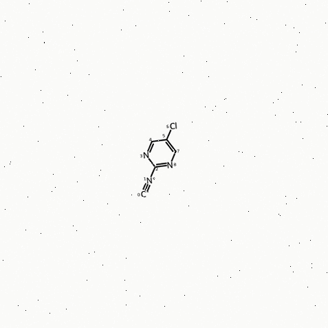 [C-]#[N+]c1ncc(Cl)cn1